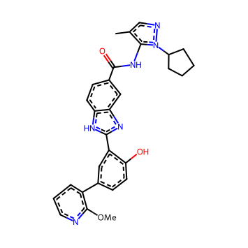 COc1ncccc1-c1ccc(O)c(-c2nc3cc(C(=O)Nc4c(C)cnn4C4CCCC4)ccc3[nH]2)c1